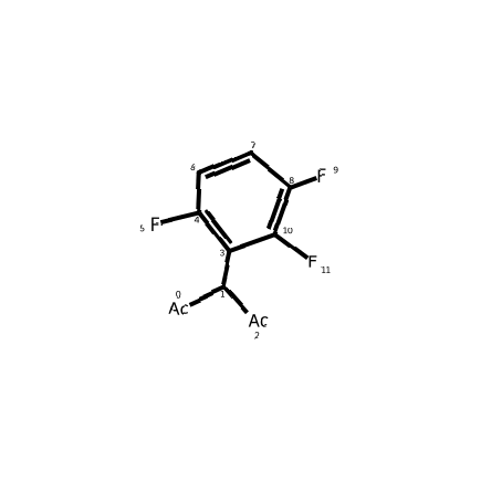 CC(=O)C(C(C)=O)c1c(F)ccc(F)c1F